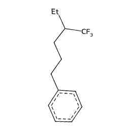 CCC(CCCc1ccccc1)C(F)(F)F